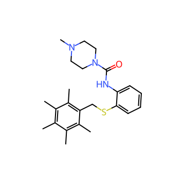 Cc1c(C)c(C)c(CSc2ccccc2NC(=O)N2CCN(C)CC2)c(C)c1C